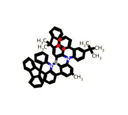 Cc1cc2c3c(c1)N(c1ccc(C(C)(C)C)cc1-c1ccccc1)c1cc4c(cc1B3N1c3ccccc3C3(c5ccccc5-c5ccccc53)c3cccc-2c31)C(C)(C)c1ccccc1-4